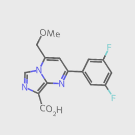 COCc1cc(-c2cc(F)cc(F)c2)nc2c(C(=O)O)ncn12